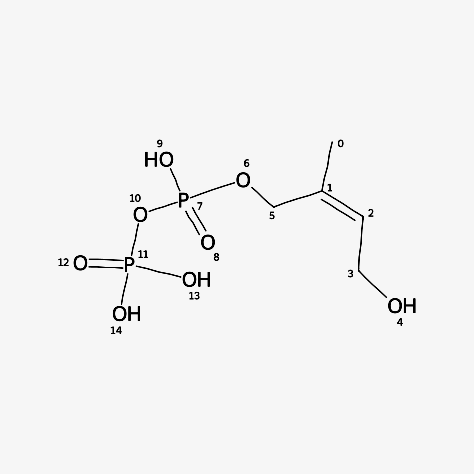 C/C(=C/CO)COP(=O)(O)OP(=O)(O)O